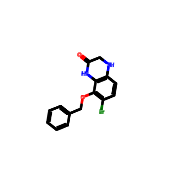 O=C1CNc2ccc(Br)c(OCc3ccccc3)c2N1